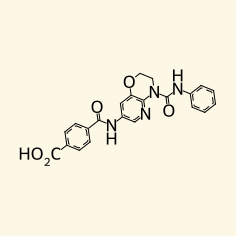 O=C(O)c1ccc(C(=O)Nc2cnc3c(c2)OCCN3C(=O)Nc2ccccc2)cc1